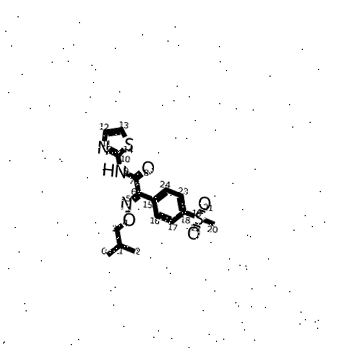 CC(C)CO/N=C(/C(=O)Nc1nccs1)c1ccc(S(C)(=O)=O)cc1